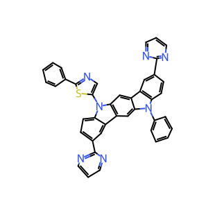 c1ccc(-c2ncc(-n3c4ccc(-c5ncccn5)cc4c4cc5c(cc43)c3cc(-c4ncccn4)ccc3n5-c3ccccc3)s2)cc1